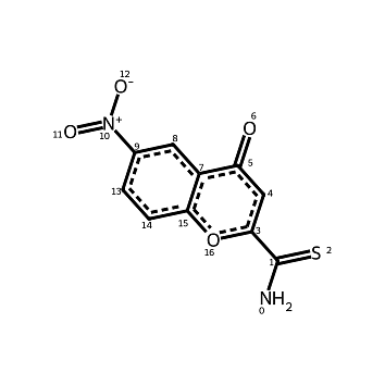 NC(=S)c1cc(=O)c2cc([N+](=O)[O-])ccc2o1